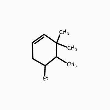 CCC1CC=CC(C)(C)C1C